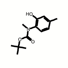 Cc1ccc(N(C)C(=O)OC(C)(C)C)c(O)c1